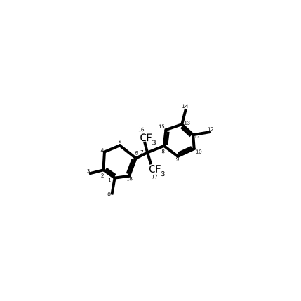 CC1=C(C)CCC(C(c2ccc(C)c(C)c2)(C(F)(F)F)C(F)(F)F)=C1